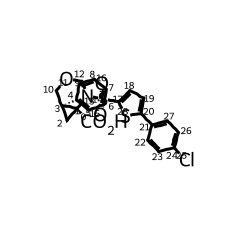 O=C(O)[C@@]12C[C@@]1(c1ccccc1)COCN2S(=O)(=O)c1ccc(-c2ccc(Cl)cc2)s1